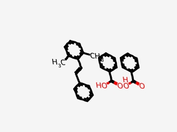 Cc1cccc(C)c1C=Cc1ccccc1.O=C(O)c1ccccc1.O=C(O)c1ccccc1